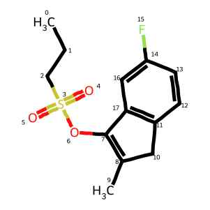 CCCS(=O)(=O)OC1=C(C)Cc2ccc(F)cc21